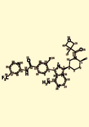 C[C@H]1CC[C@@H](c2nc(-c3ccc(C(=O)Nc4cc(C(F)(F)F)ccn4)cc3F)c3c(N)nccn23)CN1C(=O)C1(C)COC1